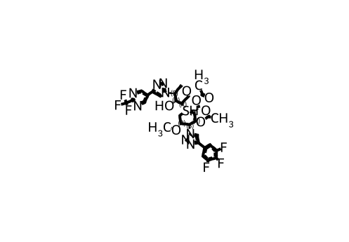 CO[C@H]1C[SH]([C@@H]2COC[C@H](n3cc(-c4cnc(C(F)(F)F)nc4)nn3)[C@H]2O)[C@H](COC(C)=O)[C@H](OC(C)=O)[C@H]1n1cc(-c2cc(F)c(F)c(F)c2)nn1